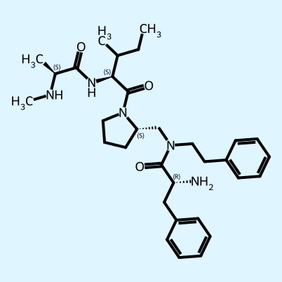 CCC(C)[C@H](NC(=O)[C@H](C)NC)C(=O)N1CCC[C@H]1CN(CCc1ccccc1)C(=O)[C@H](N)Cc1ccccc1